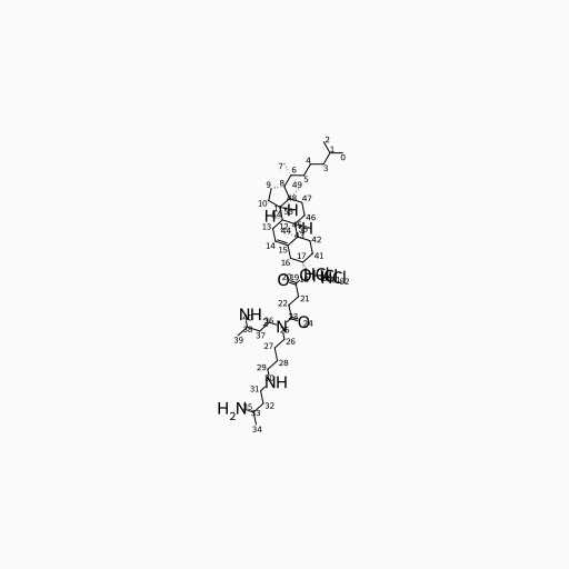 CC(C)CCC[C@@H](C)[C@H]1CC[C@H]2[C@@H]3CC=C4C[C@@H](OC(=O)CCC(=O)N(CCCCNCCC(C)N)CCC(C)N)CC[C@]4(C)[C@H]3CC[C@]12C.Cl.Cl.Cl